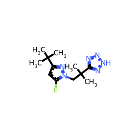 CC(C)(C)c1cc(F)n(CC(C)(C)c2nn[nH]n2)n1